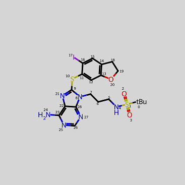 CC(C)(C)S(=O)(=O)NCCCn1c(Sc2cc3c(cc2I)CCO3)nc2c(N)ncnc21